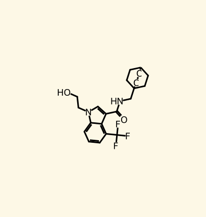 O=C(NCC12CCC(CC1)CC2)c1cn(CCO)c2cccc(C(F)(F)F)c12